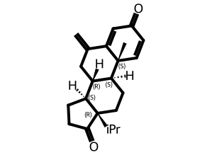 C=C1C[C@@H]2[C@H](CC[C@]3(C(C)C)C(=O)CC[C@@H]23)[C@@]2(C)C=CC(=O)C=C12